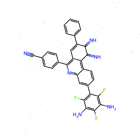 N#Cc1ccc(-c2nc3cc(-c4c(F)c(N)c(F)c(N)c4F)ccc3c3c2C=C(c2ccccc2)C(=N)C3=N)cc1